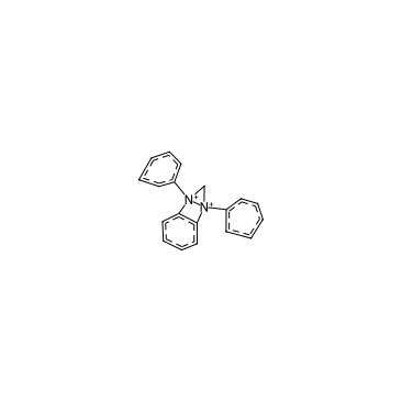 c1ccc([N+]23C[N+]2(c2ccccc2)c2ccccc23)cc1